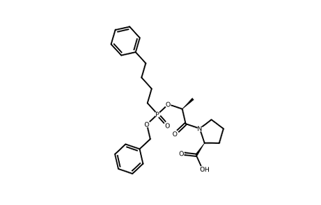 C[C@H](OP(=O)(CCCCc1ccccc1)OCc1ccccc1)C(=O)N1CCC[C@H]1C(=O)O